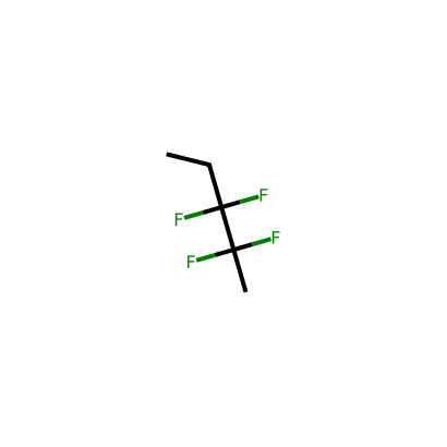 CCC(F)(F)C(C)(F)F